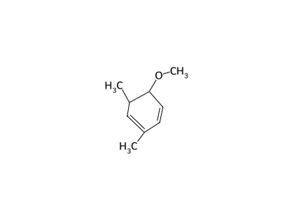 COC1C=CC(C)=CC1C